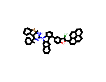 CC1(C2=C3c4ccccc4SC3(C)NC(n3c4cc5ccccc5cc4c4c(-c5ccc6oc(-c7ccc8ccc9cccc%10ccc7c8c9%10)c(Br)c6c5)cccc43)=N2)C=CC=CC1